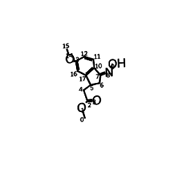 COC(=O)CC1C/C(=N/O)c2ccc(OC)cc21